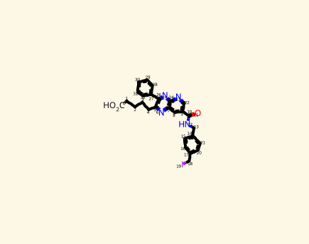 O=C(O)CCCCc1nc2cc(C(=O)NCc3ccc(CI)cc3)cnc2nc1-c1ccccc1